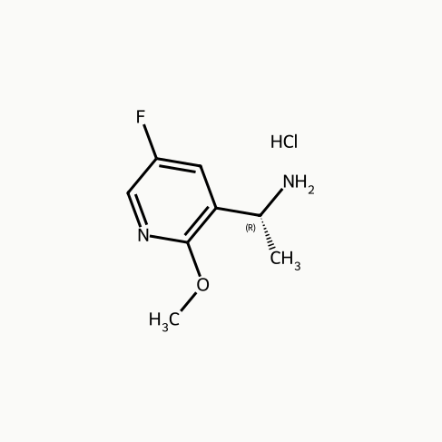 COc1ncc(F)cc1[C@@H](C)N.Cl